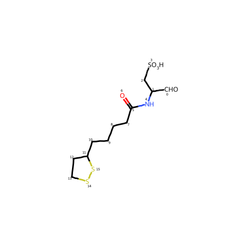 O=CC(CS(=O)(=O)O)NC(=O)CCCCC1CCSS1